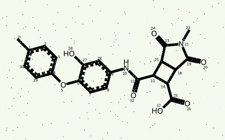 Cc1ccc(Oc2ccc(NC(=O)C3C(C(=O)O)C4C(=O)N(C)C(=O)C34)cc2O)cc1